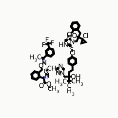 CC(C)(C)C(O)(CCc1ccc(Cl)cc1)Cn1cncn1.CO/N=C(/C(=O)OC)c1ccccc1CO/N=C(\C)c1cccc(C(F)(F)F)c1.OC(Cc1ccccc1Cl)(Cn1nc[nH]c1=S)C1(Cl)CC1